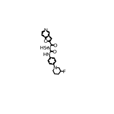 O=C(Nc1ccc(N2CCCC(F)C2)cc1)N(S)C(=O)c1cc2cnccc2o1